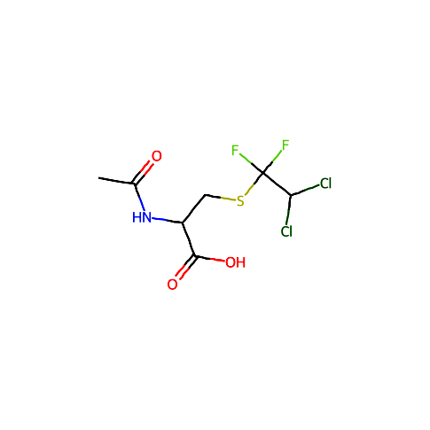 CC(=O)NC(CSC(F)(F)C(Cl)Cl)C(=O)O